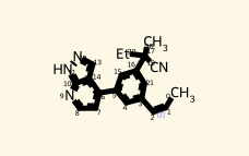 C/C=C\c1cc(-c2ccnc3[nH]ncc23)cc(C(C)(C#N)CC)c1